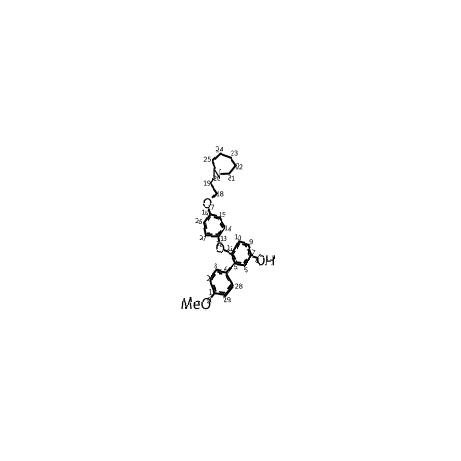 COc1ccc(-c2cc(O)ccc2Oc2ccc(OCCN3CCCCC3)cc2)cc1